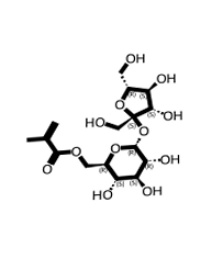 C=C(C)C(=O)OC[C@H]1O[C@H](O[C@]2(CO)O[C@H](CO)[C@@H](O)[C@@H]2O)[C@H](O)[C@@H](O)[C@@H]1O